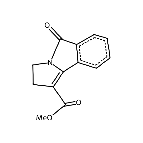 COC(=O)C1=C2c3ccccc3C(=O)N2CC1